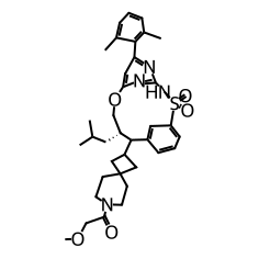 COCC(=O)N1CCC2(CC1)CC(C1c3cccc(c3)S(=O)(=O)Nc3nc(cc(-c4c(C)cccc4C)n3)OC[C@H]1CC(C)C)C2